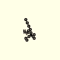 CC1(C)c2cc(-c3ccc(-c4ccc(-c5ccccc5)cc4)cc3)ccc2-c2ccc(N(c3ccc(-c4cccc5ccccc45)cc3)c3cc4ccccc4c4ccccc34)cc21